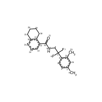 Cc1ccc(C(F)(F)CNC(=O)c2cnnc3c2CCCC3)c(C)c1